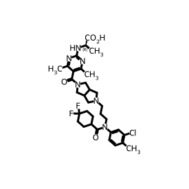 Cc1ccc(N(CCCN2CC3CN(C(=O)c4c(C)nc(N[C@H](C)C(=O)O)nc4C)CC3C2)C(=O)C2CCC(F)(F)CC2)cc1Cl